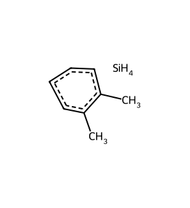 Cc1ccccc1C.[SiH4]